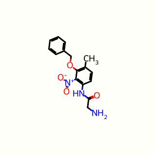 Cc1ccc(NC(=O)CN)c([N+](=O)[O-])c1OCc1ccccc1